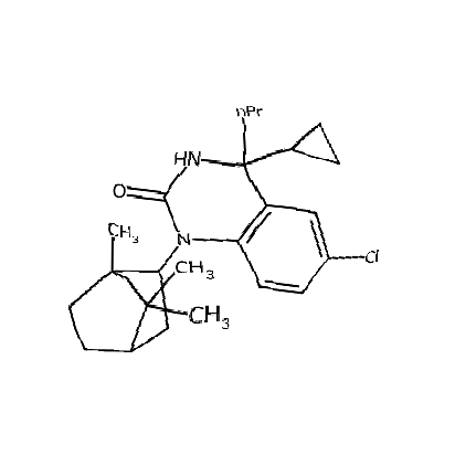 CCCC1(C2CC2)NC(=O)N(C2CC3CCC2(C)C3(C)C)c2ccc(Cl)cc21